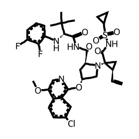 C=C[C@@H]1C[C@@]1(C(=O)NS(=O)(=O)C1CC1)N1C[C@H](Oc2ncc(OC)c3ccc(Cl)cc23)C[C@H]1C(=O)NC(=O)[C@H](Nc1cccc(F)c1F)C(C)(C)C